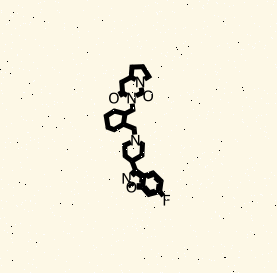 O=C1CC2CCCN2C(=O)N1CC1CCCCC1CN1CCC(c2noc3cc(F)ccc23)CC1